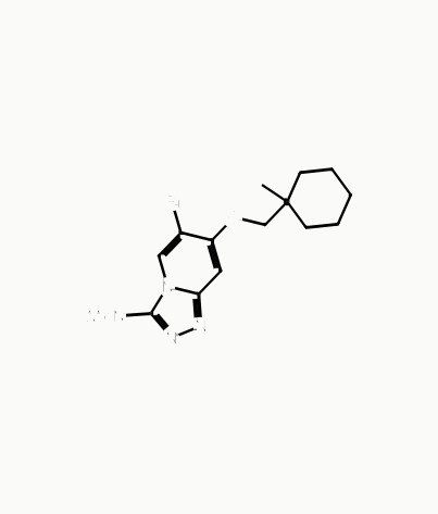 CNc1nnc2cc(OCC3(C)CCCCC3)c(Br)cn12